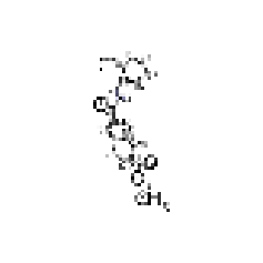 CCOC(=O)c1ccc2cc(C(=O)/C=C/c3ccccc3Cl)sc2c1